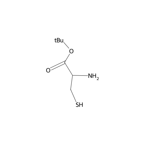 CC(C)(C)OC(=O)C(N)CS